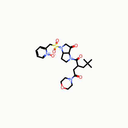 CC(C)(C)CC(CC(=O)N1CCOCC1)C(=O)N1CCC2C1C(=O)CN2S(=O)(=O)Cc1cccc[n+]1[O-]